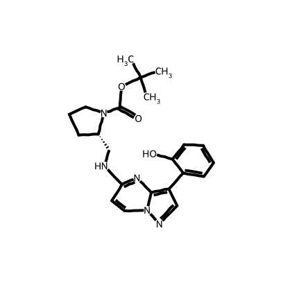 CC(C)(C)OC(=O)N1CCC[C@H]1CNc1ccn2ncc(-c3ccccc3O)c2n1